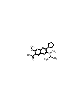 COc1nc2nc(C3CCCC3)c(N(C)C(C)C)nc2cc1C(=O)O